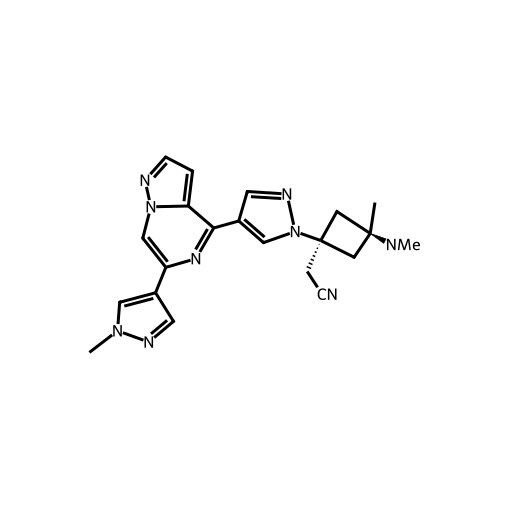 CN[C@]1(C)C[C@](CC#N)(n2cc(-c3nc(-c4cnn(C)c4)cn4nccc34)cn2)C1